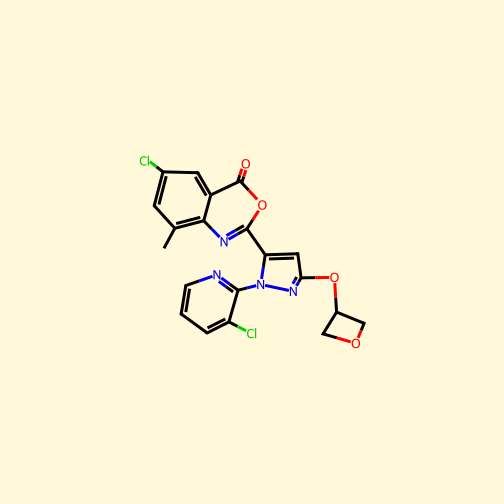 Cc1cc(Cl)cc2c(=O)oc(-c3cc(OC4COC4)nn3-c3ncccc3Cl)nc12